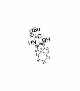 CC(C)(C)OC(=O)N[C@H]1CC2(CCCCC2)C[C@H]1O